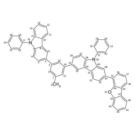 Cc1cc(-c2ccc3c(c2)c2ccccc2n3-c2ccccc2)cc(-c2ccc3c(c2)c2ccc(-c4cccc5c4oc4ccccc45)cc2n3-c2ccccc2)c1